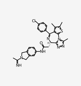 CC(=N)N1Cc2ccc(NC(=O)C[C@@H]3N=C(c4ccc(Cl)cc4)c4c(sc(C)c4C)-n4c(C)nnc43)cc2C1